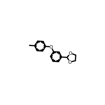 Cc1ccc(Oc2cccc(C3OCCO3)c2)cc1